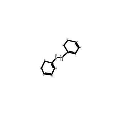 C1=CCCC(NNC2=CC=CCC2)=C1